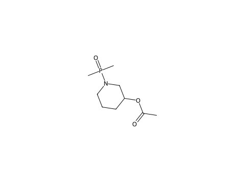 CC(=O)OC1CCCN(P(C)(C)=O)C1